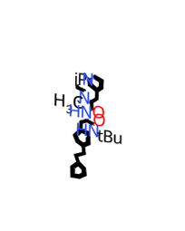 CC(C)CCN(C)C(Cc1cccnc1)C(=O)NC(Cc1ccc(CCc2ccccc2)cc1)C(=O)NC(C)(C)C